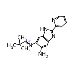 CC(C)(C)/C=N/c1cc2[nH]c(-c3ccccn3)nc2cc1N